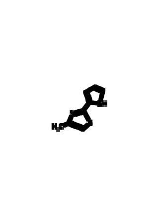 Cc1csc(-c2ccc[nH]2)n1